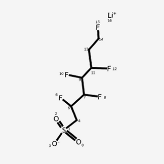 O=S(=O)([O-])CC(F)C(F)C(F)C(F)CCF.[Li+]